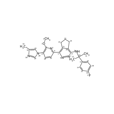 COc1nc(-c2nnc(NC(C)(C)c3ccc(F)cc3)c3c2CCC3)ccc1-n1cnc(C)c1